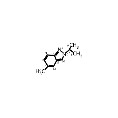 Cc1ccc2nn(C(C)C)cc2c1